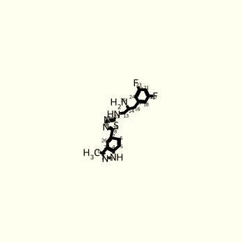 Cc1n[nH]c2ccc(-c3nnc(NCC(N)Cc4cc(F)cc(F)c4)s3)cc12